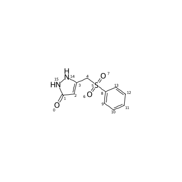 O=c1cc(CS(=O)(=O)c2ccccc2)[nH][nH]1